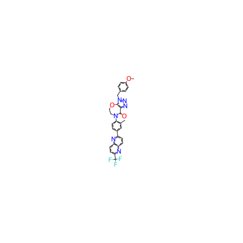 COc1ccc(Cn2nnc3c2OCCN(c2ccc(-c4ccc5nc(C(F)(F)F)ccc5n4)cc2C)C3=O)cc1